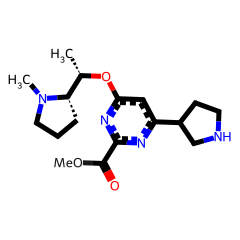 COC(=O)c1nc(O[C@@H](C)[C@@H]2CCCN2C)cc(C2CCNC2)n1